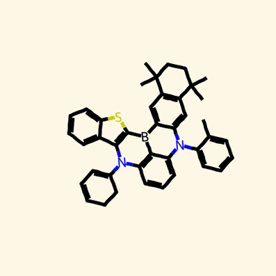 Cc1ccccc1N1c2cc3c(cc2B2c4sc5ccccc5c4N(C4=CC=CCC4)c4cccc1c42)C(C)(C)CCC3(C)C